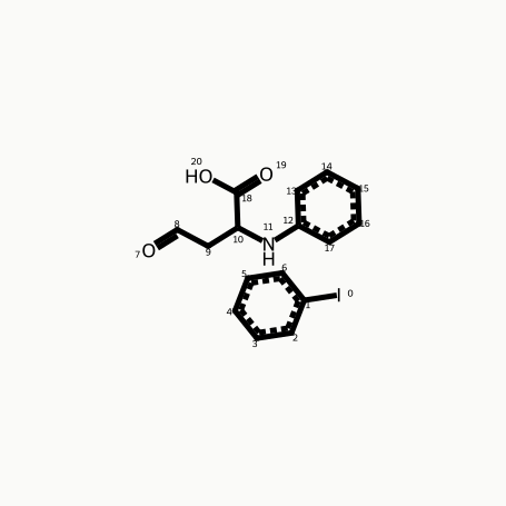 Ic1ccccc1.O=CCC(Nc1ccccc1)C(=O)O